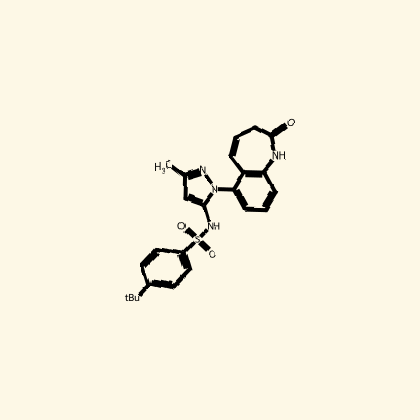 Cc1cc(NS(=O)(=O)c2ccc(C(C)(C)C)cc2)n(-c2cccc3c2C=CCC(=O)N3)n1